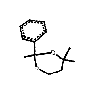 CC1(C)CCOC(C)(c2ccccc2)O1